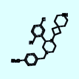 COc1ccc(CN2CCN(C3CC4(CCNCC4)C3)C(c3cc(Cl)ccc3C(C)C)C2)cc1